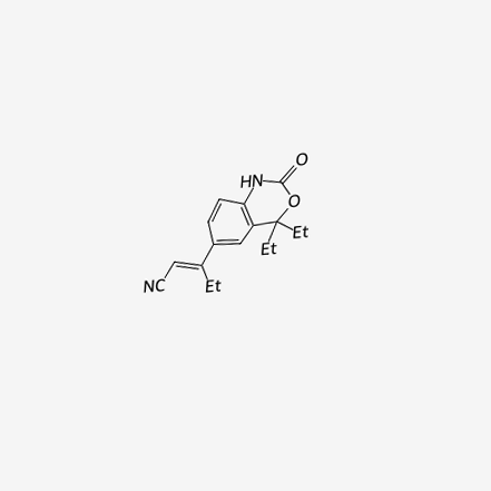 CC/C(=C\C#N)c1ccc2c(c1)C(CC)(CC)OC(=O)N2